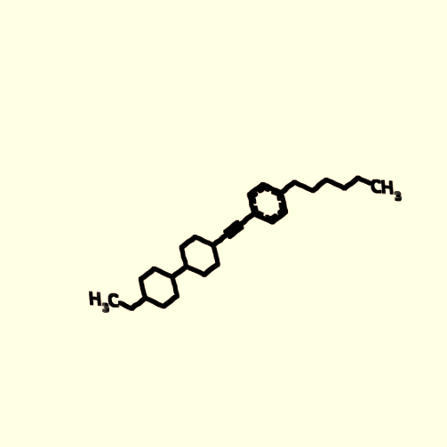 CCCCCCc1ccc(C#CC2CCC(C3CCC(CC)CC3)CC2)cc1